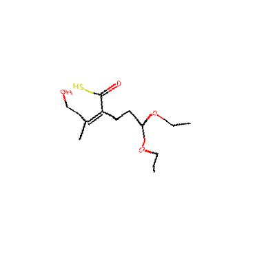 CCOC(CC/C(C(=O)S)=C(\C)CO)OCC